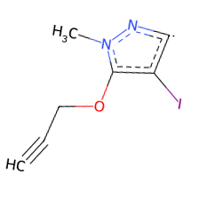 C#CCOc1c(I)[c]nn1C